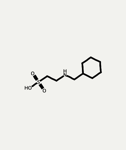 O=S(=O)(O)CCNCC1CCCCC1